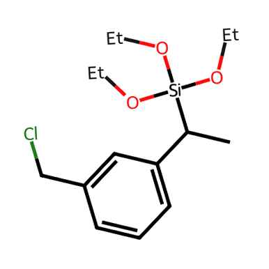 CCO[Si](OCC)(OCC)C(C)c1cccc(CCl)c1